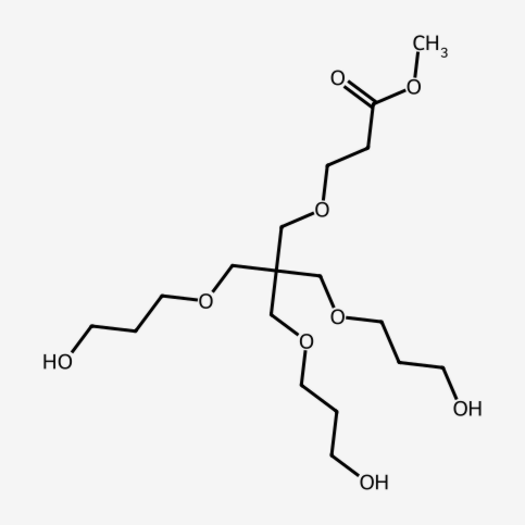 COC(=O)CCOCC(COCCCO)(COCCCO)COCCCO